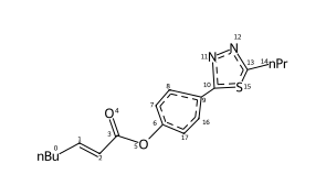 CCCCC=CC(=O)Oc1ccc(-c2nnc(CCC)s2)cc1